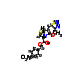 Cc1nnsc1C=C1C(=O)N2C(C(=O)OCc3ccc([N+](=O)[O-])cc3)=CS[C@@H]12